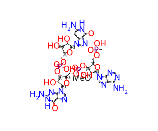 COC1[C@@H](OP(=O)(O)OC[C@H]2O[C@@H](n3cnc4c(=O)[nH]c(N)nc43)C(O)[C@H]2OP(=O)(O)OC[C@H]2O[C@@H](n3cnc4c(=O)[nH]c(N)cc43)C(O)[C@H]2O)[C@@H](COP(C)(=O)O)O[C@H]1n1cnc2c(N)ncnc21